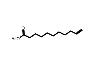 C=CCCCCCCCCC(=O)OC(C)=O